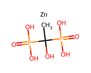 CC(O)(P(=O)(O)O)P(=O)(O)O.[Zn]